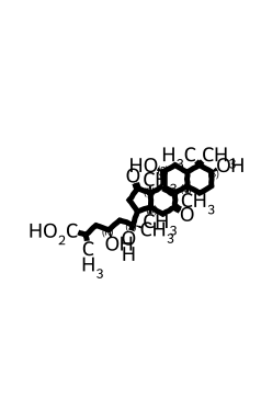 CC(C[C@@H](O)C[C@](C)(O)C1CC(=O)[C@@]2(C)C3=C(C(=O)C[C@]12C)[C@@]1(C)CC[C@H](O)C(C)(C)C1C[C@@H]3O)C(=O)O